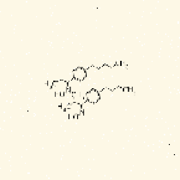 CCCCCc1ccc(C(CC)=NO)cc1.CCCCc1ccc(C(=NO)C(C)C)cc1